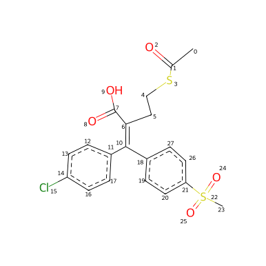 CC(=O)SCCC(C(=O)O)=C(c1ccc(Cl)cc1)c1ccc(S(C)(=O)=O)cc1